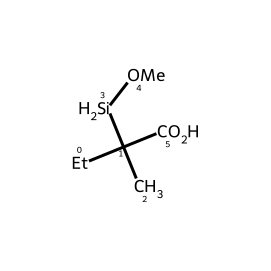 CCC(C)([SiH2]OC)C(=O)O